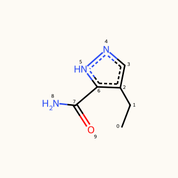 CCc1cn[nH]c1C(N)=O